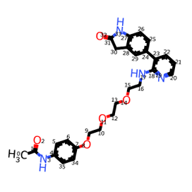 CC(=O)Nc1ccc(OCCOCCOCCNc2ncccc2-c2ccc3c(c2)CC(=O)N3)cc1